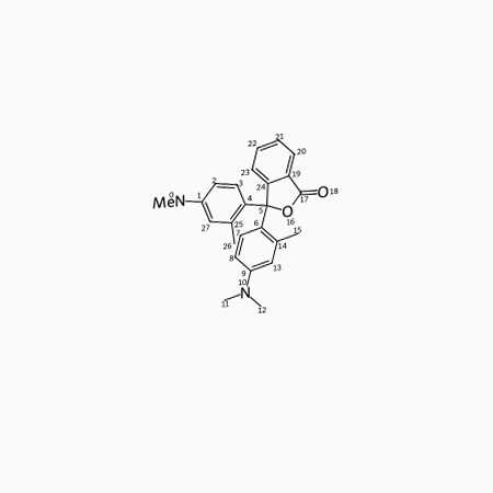 CNc1ccc(C2(c3ccc(N(C)C)cc3C)OC(=O)c3ccccc32)c(C)c1